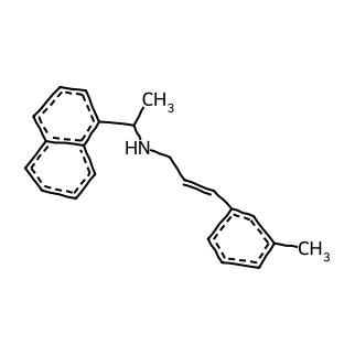 Cc1cccc(C=CCNC(C)c2cccc3ccccc23)c1